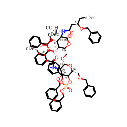 CCCCCCCCCCCC(=O)O[C@H](CCCCCCCCCCC)CC(=O)N[C@H]1[C@H](OC[C@H]2O[C@H](O)[C@](CC(=O)O)(NC(=O)C[C@@H](CCCCCCCCCCC)OCc3ccccc3)[C@@H](OCc3ccccc3)[C@@H]2OCc2ccccc2)O[C@H](COCc2ccccc2)[C@@H](OP(=O)(OCc2ccccc2)OCc2ccccc2)[C@@H]1OCc1ccccc1